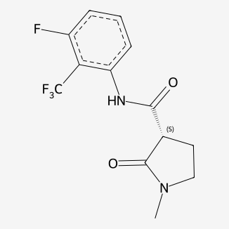 CN1CC[C@@H](C(=O)Nc2cccc(F)c2C(F)(F)F)C1=O